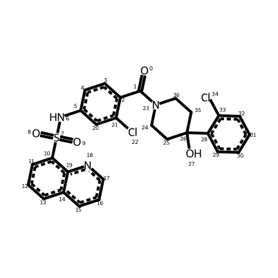 O=C(c1ccc(NS(=O)(=O)c2cccc3cccnc23)cc1Cl)N1CCC(O)(c2ccccc2Cl)CC1